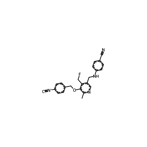 [C-]#[N+]c1ccc(COc2c(C)ncc(CNc3ccc(C#N)cc3)c2CF)cc1